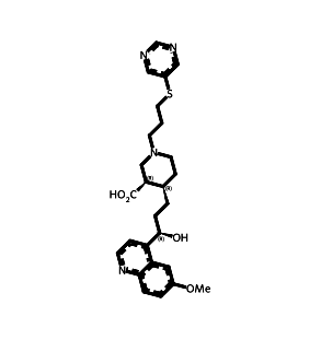 COc1ccc2nccc([C@H](O)CC[C@@H]3CCN(CCCSc4cncnc4)C[C@@H]3C(=O)O)c2c1